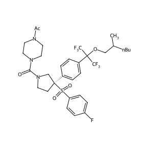 CCCCC(C)COC(c1ccc([C@]2(S(=O)(=O)c3ccc(F)cc3)CCN(C(=O)N3CCN(C(C)=O)CC3)C2)cc1)(C(F)(F)F)C(F)(F)F